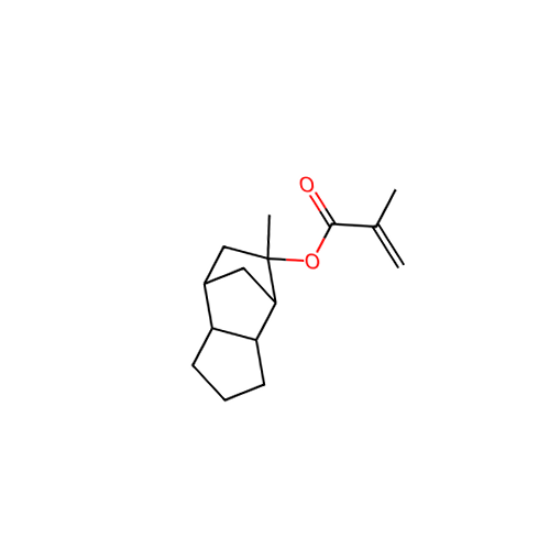 C=C(C)C(=O)OC1(C)CC2CC1C1CCCC21